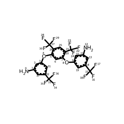 Nc1cc(Oc2cc(Oc3cc(N)cc(C(F)(F)F)c3)c(C(F)(F)F)cc2C(F)(F)F)cc(C(F)(F)F)c1